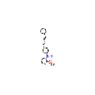 CCOc1ccccc1Nc1ccc(/C=C/C=C/c2ccccc2)cc1